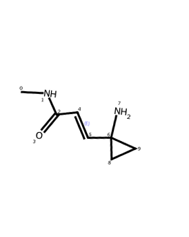 CNC(=O)/C=C/C1(N)CC1